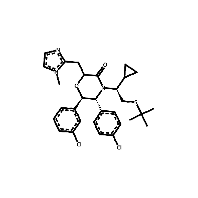 Cn1ccnc1CC1O[C@H](c2cccc(Cl)c2)[C@@H](c2ccc(Cl)cc2)N([C@H](CSC(C)(C)C)C2CC2)C1=O